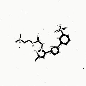 CCS(=O)(=O)c1cccc(-c2ccc(-c3cc(C)nn3CC(=O)OCCN(C)C)s2)c1